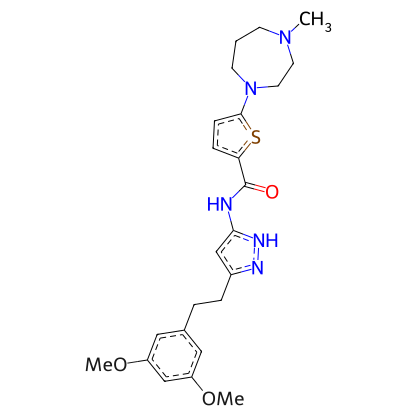 COc1cc(CCc2cc(NC(=O)c3ccc(N4CCCN(C)CC4)s3)[nH]n2)cc(OC)c1